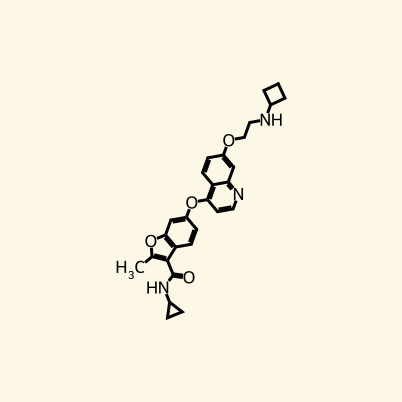 Cc1oc2cc(Oc3ccnc4cc(OCCNC5CCC5)ccc34)ccc2c1C(=O)NC1CC1